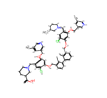 C=C(O)C1CCCN(Cc2cc(Cl)c(OCc3cccc(-c4cccc(COc5cc(OCc6cncc(C#N)c6)c(CN6CCCC(C(=O)O)C6)cc5Cl)c4C)c3C)cc2OCc2cncc(C#N)c2)C1